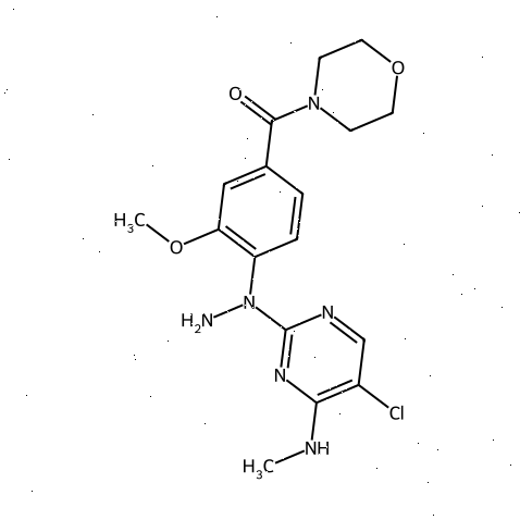 CNc1nc(N(N)c2ccc(C(=O)N3CCOCC3)cc2OC)ncc1Cl